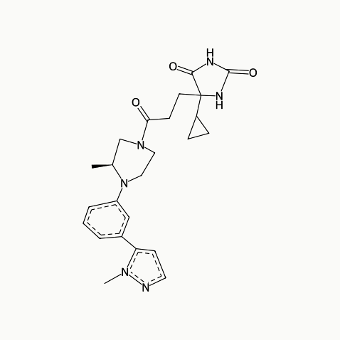 C[C@H]1CN(C(=O)CCC2(C3CC3)NC(=O)NC2=O)CCN1c1cccc(-c2ccnn2C)c1